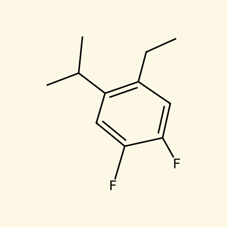 CCc1cc(F)c(F)cc1C(C)C